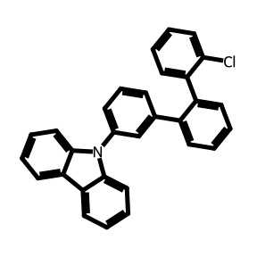 Clc1ccccc1-c1ccccc1-c1cccc(-n2c3ccccc3c3ccccc32)c1